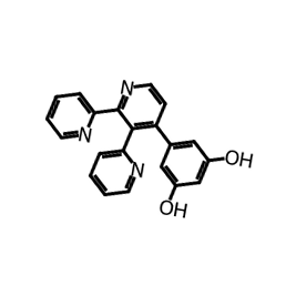 Oc1cc(O)cc(-c2ccnc(-c3ccccn3)c2-c2ccccn2)c1